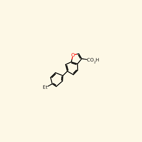 CCc1ccc(-c2ccc3c(C(=O)O)coc3c2)cc1